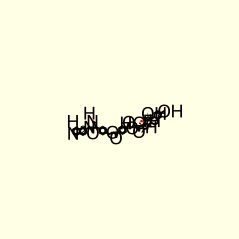 C[C@@H]1C[C@H]2[C@@H]3CCC4=CC(O)C=C[C@]4(C)[C@@]3(F)[C@@H](O)C[C@]2(C)[C@@]1(O)C(=O)COC(=O)c1ccc(C(=O)OCc2ccc([C@@H](CN)C(=O)Nc3ccc4cnccc4c3)cc2)cc1